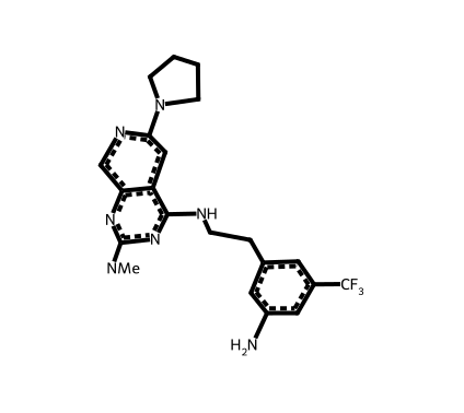 CNc1nc(NCCc2cc(N)cc(C(F)(F)F)c2)c2cc(N3CCCC3)ncc2n1